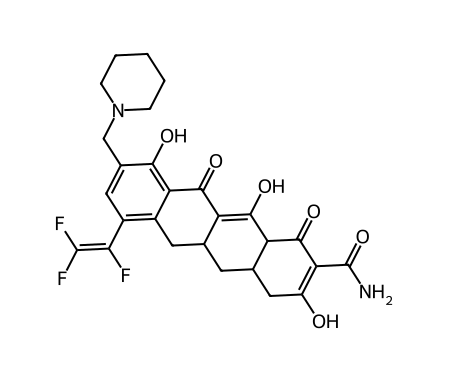 NC(=O)C1=C(O)CC2CC3Cc4c(C(F)=C(F)F)cc(CN5CCCCC5)c(O)c4C(=O)C3=C(O)C2C1=O